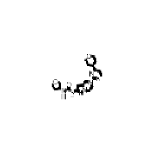 O=C(Nc1cc2n(n1)CCN(c1nccc(C3CCOCC3)n1)C2)N[C@@H]1CCOC1